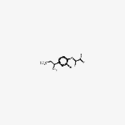 CCOC(=O)CC(N)c1ccc(OC(F)C(F)F)c(Br)c1